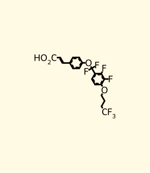 O=C(O)C=Cc1ccc(OC(F)(F)c2ccc(OCCCC(F)(F)F)c(F)c2F)cc1